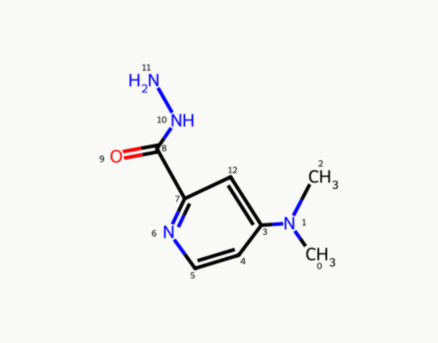 CN(C)c1ccnc(C(=O)NN)c1